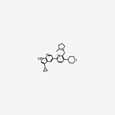 CC1CCCN1Cc1nc(-c2cnc3[nH]cc(C4CC4)c3c2)ccc1C1CCOCC1